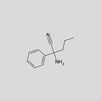 CCCC(N)(C#N)c1ccccc1